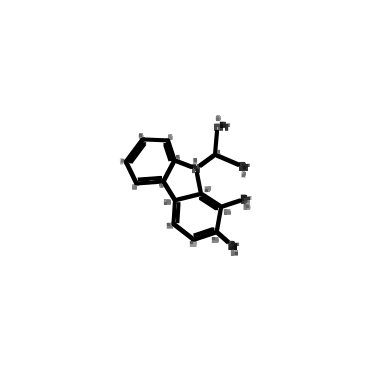 CCCC(Br)n1c2ccccc2c2ccc(Br)c(Br)c21